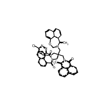 C=C1C2C=CC=C3C=CC=C(OCN1CC(COc1nnc(Cl)nn1)(CN1C(=O)c4cccc5cccc(c45)C1=O)Cn1c(=C)c4cccc5cccc(c1=O)c54)C32